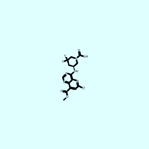 COC(=O)c1cc(Cl)nc2c(N[C@@H]3CN(C(=O)O)CC(F)(F)C3)ncnc12